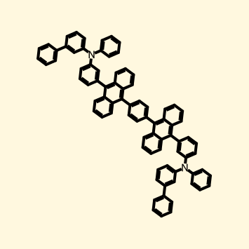 c1ccc(-c2cccc(N(c3ccccc3)c3cccc(-c4c5ccccc5c(-c5ccc(-c6c7ccccc7c(-c7cccc(N(c8ccccc8)c8cccc(-c9ccccc9)c8)c7)c7ccccc67)cc5)c5ccccc45)c3)c2)cc1